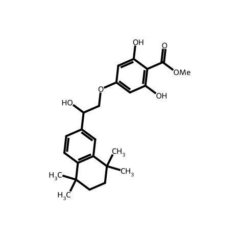 COC(=O)c1c(O)cc(OCC(O)c2ccc3c(c2)C(C)(C)CCC3(C)C)cc1O